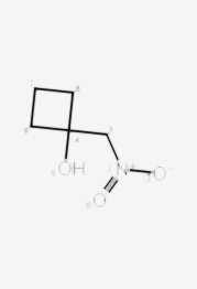 O=[N+]([O-])CC1(O)CCC1